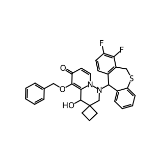 O=c1ccn2c(c1OCc1ccccc1)C(O)C1(CCC1)CN2C1c2ccccc2SCc2c1ccc(F)c2F